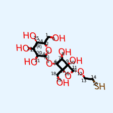 OCC1O[C@@H](O[C@H]2C(O)C3(O)[C@H](OCCS)OC23CO)C(O)C(O)[C@H]1O